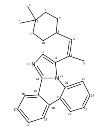 C/C(=C/C1CCC(C)(C)CC1)c1cnc2c3ccccc3c3ccccc3n12